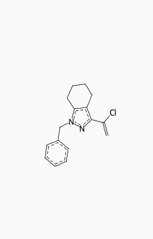 C=C(Cl)c1nn(Cc2ccccc2)c2c1CCCC2